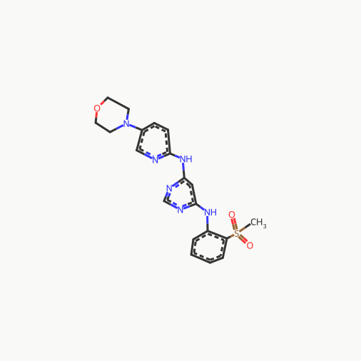 CS(=O)(=O)c1ccccc1Nc1cc(Nc2ccc(N3CCOCC3)cn2)ncn1